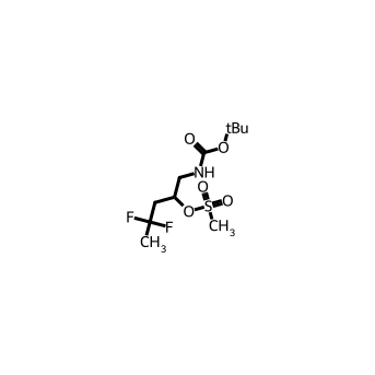 CC(F)(F)CC(CNC(=O)OC(C)(C)C)OS(C)(=O)=O